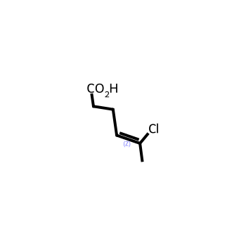 C/C(Cl)=C/CCC(=O)O